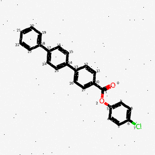 O=C(Oc1ccc(Cl)cc1)c1ccc(-c2ccc(-c3ccccc3)cc2)cc1